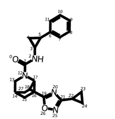 O=C(NC1CC1c1ccccc1)N1CC2CCC1C(c1nc(C3CC3)no1)C2